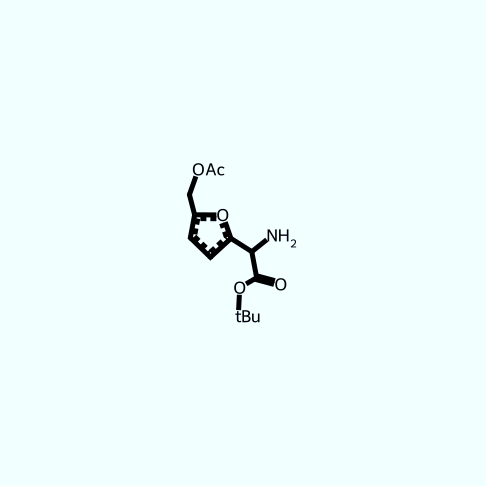 CC(=O)OCc1ccc(C(N)C(=O)OC(C)(C)C)o1